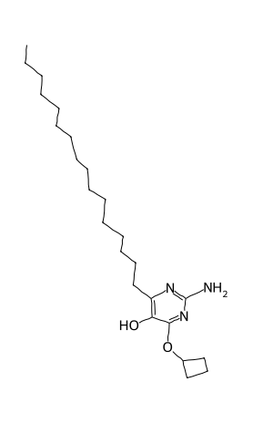 CCCCCCCCCCCCCCCCc1nc(N)nc(OC2CCC2)c1O